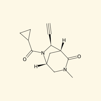 C#C[C@H]1[C@H]2C[C@H](CN(C)C2=O)N1C(=O)C1CC1